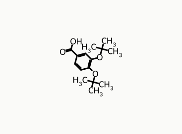 CC(C)(C)Oc1ccc(C(=O)O)cc1OC(C)(C)C